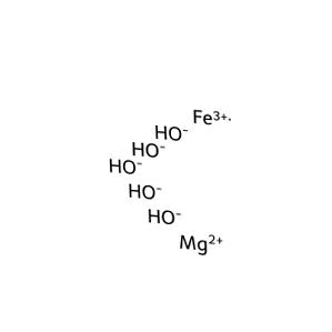 [Fe+3].[Mg+2].[OH-].[OH-].[OH-].[OH-].[OH-]